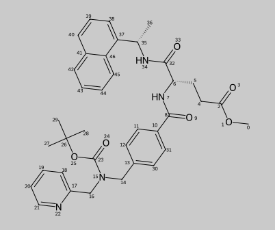 COC(=O)CC[C@H](NC(=O)c1ccc(CN(Cc2ccccn2)C(=O)OC(C)(C)C)cc1)C(=O)N[C@@H](C)c1cccc2ccccc12